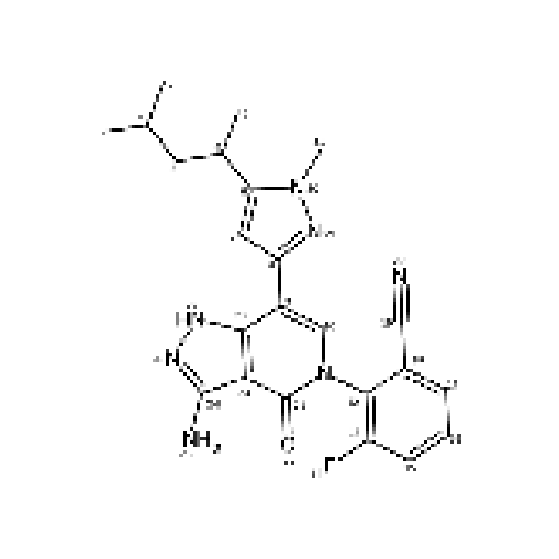 CC(C)CC(C)c1cc(-c2cn(-c3c(F)cccc3C#N)c(=O)c3c(N)n[nH]c23)nn1C